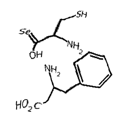 NC(CS)C(O)=[Se].NC(Cc1ccccc1)C(=O)O